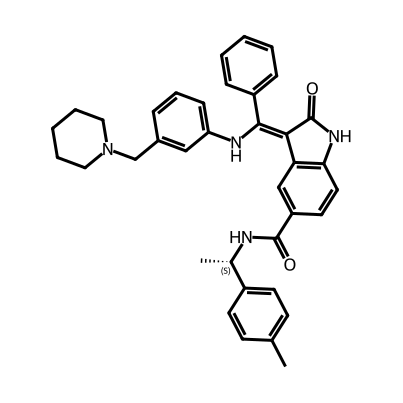 Cc1ccc([C@H](C)NC(=O)c2ccc3c(c2)C(=C(Nc2cccc(CN4CCCCC4)c2)c2ccccc2)C(=O)N3)cc1